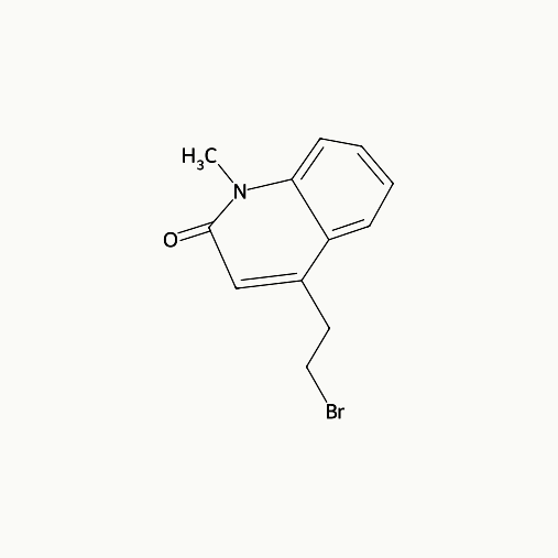 Cn1c(=O)cc(CCBr)c2ccccc21